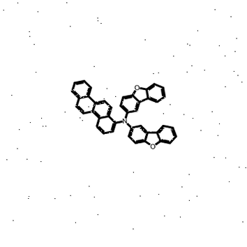 c1ccc2c(c1)ccc1c3cccc(N(c4ccc5oc6ccccc6c5c4)c4ccc5oc6ccccc6c5c4)c3ccc21